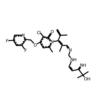 C=C(C)/C(=C(C)\C=N/CN/C=C\C(=N)C(C)(C)O)n1c(C)cc(OCc2ncc(F)cc2F)c(Cl)c1=O